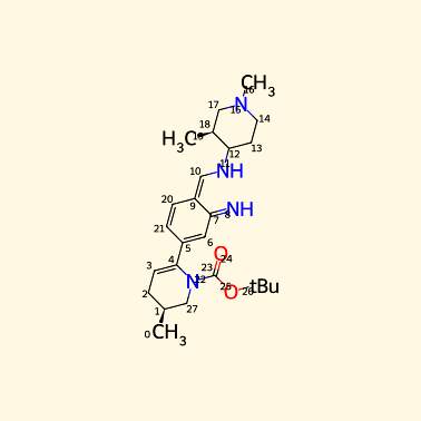 C[C@H]1CC=C(C2=CC(=N)/C(=C\NC3CCN(C)C[C@@H]3C)C=C2)N(C(=O)OC(C)(C)C)C1